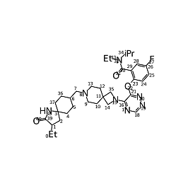 CCC1CC2(CCC(CN3CCC4(CC3)CN(c3ncnnc3Oc3ccc(F)cc3C(=O)N(CC)C(C)C)C4)CC2)NC1=O